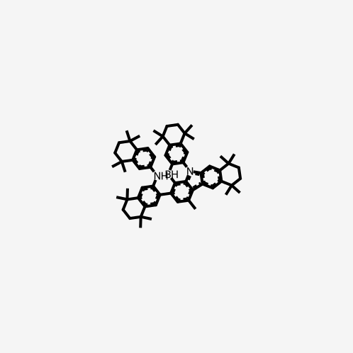 Cc1cc(-c2cc3c(cc2Nc2ccc4c(c2)C(C)(C)CCC4(C)C)C(C)(C)CCC3(C)C)c2c3c1c1cc4c(cc1n3-c1cc3c(cc1B2)C(C)(C)CCC3(C)C)C(C)(C)CCC4(C)C